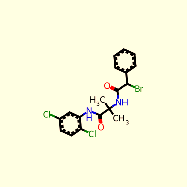 CC(C)(NC(=O)C(Br)c1ccccc1)C(=O)Nc1cc(Cl)ccc1Cl